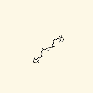 CC(C=CC1=C(C)CCCC1(C)C)=CC=CC(C)=CCSCC=C(C)C=CC=C(C)C=CC1=C(C)CCCC1(C)C